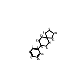 [c]1ccc(C2CCC3(CCCC3)CC2)cc1